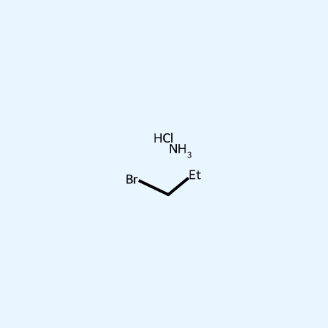 CCCBr.Cl.N